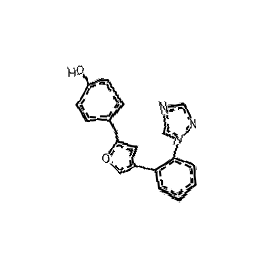 Oc1ccc(-c2cc(-c3ccccc3-n3cncn3)co2)cc1